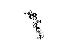 CNC(=O)CNc1ncc(-c2cc(NC[C@@H](C)c3cccc4c(C(=O)NC)ccnc34)ncn2)cn1